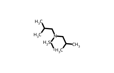 CC(C)CN(CC(C)C)[SiH2]I